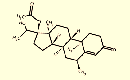 CC(=O)O[C@]1(C(C)O)CC[C@H]2[C@@H]3C[C@H](C)C4=CC(=O)CC[C@]4(C)[C@H]3CC[C@@]21C